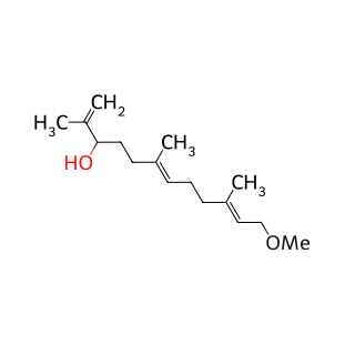 C=C(C)C(O)CC/C(C)=C/CC/C(C)=C/COC